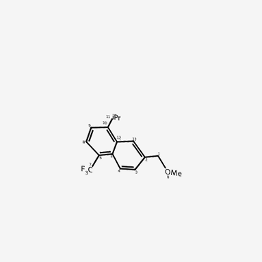 COCc1ccc2c(C(F)(F)F)ccc(C(C)C)c2c1